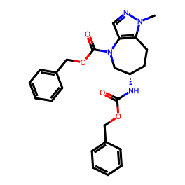 Cn1ncc2c1CC[C@H](NC(=O)OCc1ccccc1)CN2C(=O)OCc1ccccc1